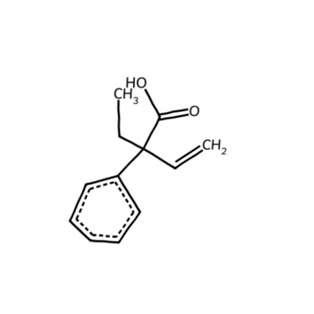 C=CC(CC)(C(=O)O)c1ccccc1